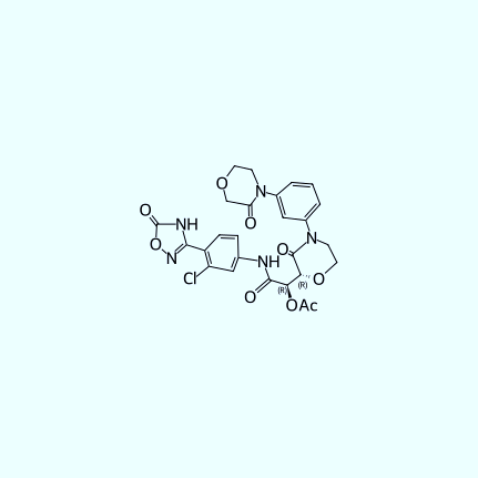 CC(=O)O[C@@H](C(=O)Nc1ccc(-c2noc(=O)[nH]2)c(Cl)c1)[C@H]1OCCN(c2cccc(N3CCOCC3=O)c2)C1=O